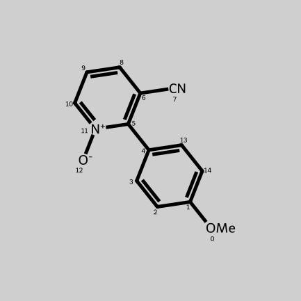 COc1ccc(-c2c(C#N)ccc[n+]2[O-])cc1